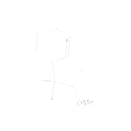 COC1C(C)(C)c2ccccc2C1(C)C